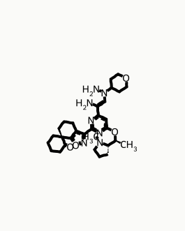 C[C@H](Oc1cc(/C(N)=C/N(N)C2CCOCC2)nc(-c2noc3c2CCC[C@@]32CCCCC2=O)n1)[C@@H]1CCCN1C